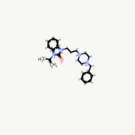 C=C(C)n1c(=O)n(CCCN2CCN(Cc3ccccc3)CC2)c2ccccc21